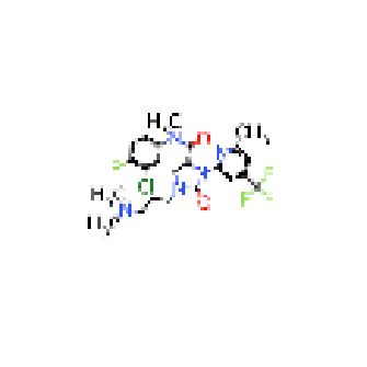 Cc1cc(C(F)(F)F)cc(N2C(=O)N(CCCN(C)C)C[C@H]2C(=O)N(C)c2ccc(F)c(Cl)c2)n1